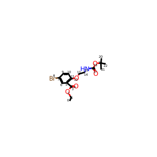 CCOC(=O)c1cc(Br)ccc1OCCNC(=O)OC(C)(C)C